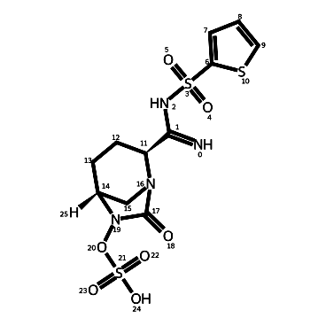 N=C(NS(=O)(=O)c1cccs1)[C@@H]1CC[C@@H]2CN1C(=O)N2OS(=O)(=O)O